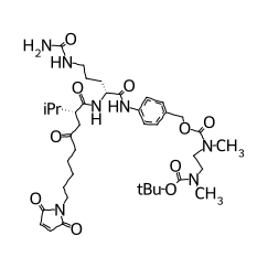 CC(C)[C@@H](CC(=O)CCCCCN1C(=O)C=CC1=O)C(=O)N[C@H](CCCNC(N)=O)C(=O)Nc1ccc(COC(=O)N(C)CCN(C)C(=O)OC(C)(C)C)cc1